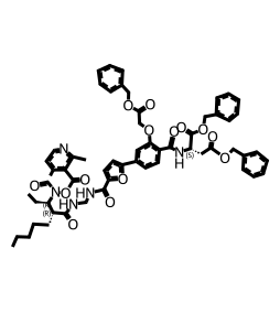 CCCCC[C@@H](C(=O)NCNC(=O)c1ccc(-c2ccc(C(=O)N[C@@H](CC(=O)OCc3ccccc3)C(=O)OCc3ccccc3)c(OCC(=O)OCc3ccccc3)c2)o1)[C@@H](CC)N(C=O)OC(=O)c1c(C)ccnc1C